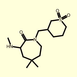 CNC1CC(C)(C)CCN(CC2CCCS(=O)(=O)C2)C1=O